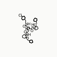 O=C(Cn1nc(C(=O)NCCc2ccc(Cl)cc2)cc1C(=O)N[C@H]1CCCC[C@@H]1OCc1ccccc1)N[C@H]1CCCC[C@@H]1OCc1ccccc1